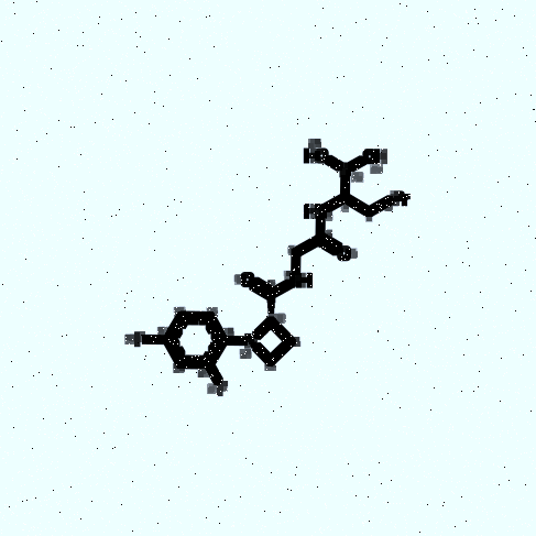 CC(C)CC(NC(=O)CNC(=O)[C@@H]1CCN1c1ccc(F)cc1F)B(O)O